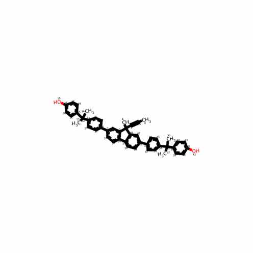 CC#CC1(C)c2cc(-c3ccc(C(C)(C)c4ccc(O)cc4)cc3)ccc2-c2ccc(-c3ccc(C(C)(C)c4ccc(O)cc4)cc3)cc21